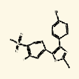 Cc1nc(-c2ccc(Br)cc2)c(-c2ccc(S(C)(=O)=O)c(F)c2)o1